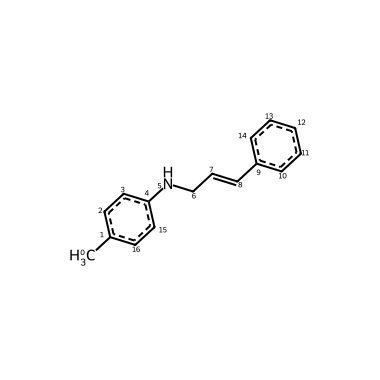 Cc1ccc(NCC=Cc2ccccc2)cc1